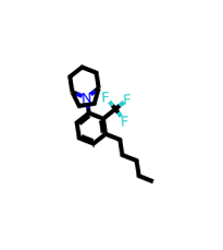 CCCCCc1[c]ccc(N2C3CCCC2CC3)c1C(F)(F)F